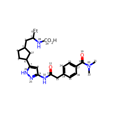 CCC(CC1CCC(c2cc(NC(=O)Cc3ccc(C(=O)N(C)C)cc3)n[nH]2)C1)NC(=O)O